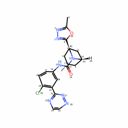 Cc1nnc([C@@]23C[C@@H](C)C[C@@H](C2)N3C(=O)Nc2ccc(Cl)c(-c3nccnn3)c2)o1